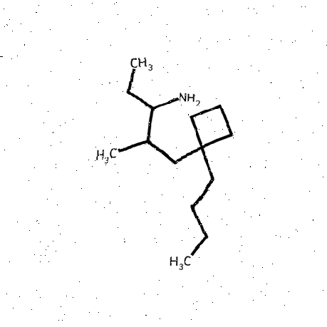 CCCCC1(CC(C)C(N)CC)CCC1